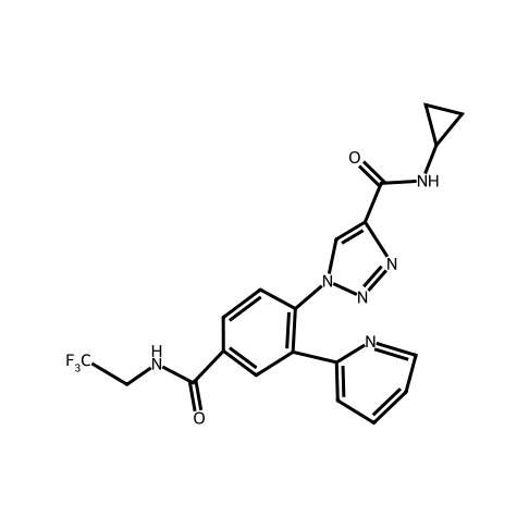 O=C(NCC(F)(F)F)c1ccc(-n2cc(C(=O)NC3CC3)nn2)c(-c2ccccn2)c1